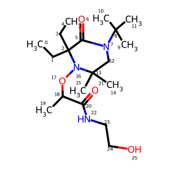 CCC1(CC)C(=O)N(C(C)(C)C)CC(C)(C)N1OC(C)C(=O)NCCO